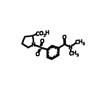 CN(C)C(=O)c1cccc(S(=O)(=O)N2CCC[C@H]2C(=O)O)c1